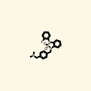 CN(C)Cc1ccc(CN2c3ccccc3N(c3ccccc3F)S2(=O)=O)cc1